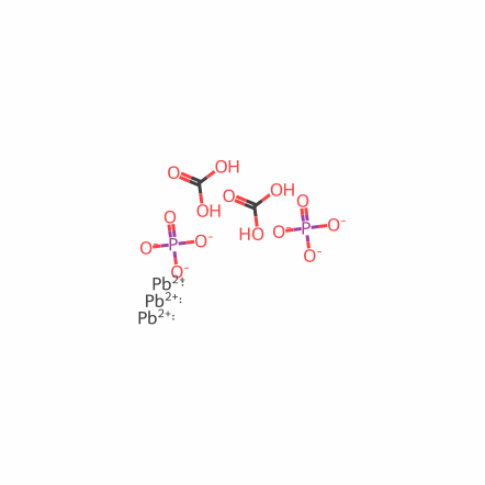 O=C(O)O.O=C(O)O.O=P([O-])([O-])[O-].O=P([O-])([O-])[O-].[Pb+2].[Pb+2].[Pb+2]